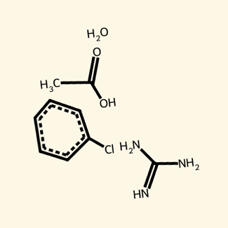 CC(=O)O.Clc1ccccc1.N=C(N)N.O